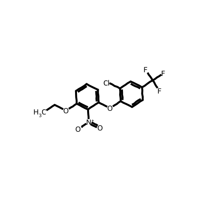 CCOc1cccc(Oc2ccc(C(F)(F)F)cc2Cl)c1[N+](=O)[O-]